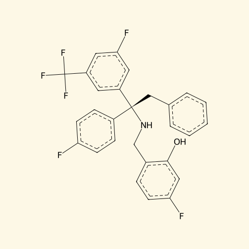 Oc1cc(F)ccc1CN[C@](Cc1ccccc1)(c1ccc(F)cc1)c1cc(F)cc(C(F)(F)F)c1